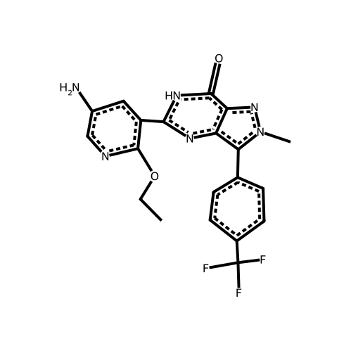 CCOc1ncc(N)cc1-c1nc2c(-c3ccc(C(F)(F)F)cc3)n(C)nc2c(=O)[nH]1